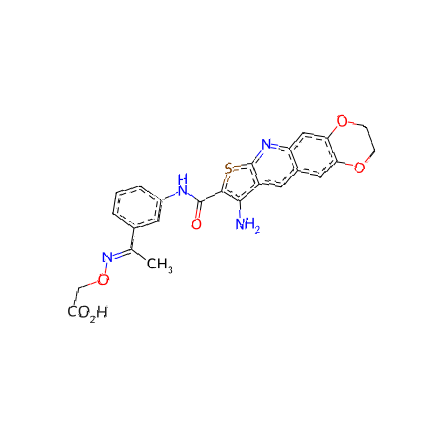 C/C(=N\OCC(=O)O)c1cccc(NC(=O)c2sc3nc4cc5c(cc4cc3c2N)OCCO5)c1